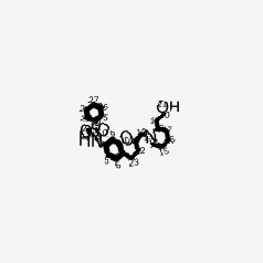 O=S(=O)(Nc1ccc2c(c1)OC(CN1CCCCC1CCO)CC2)c1ccccc1